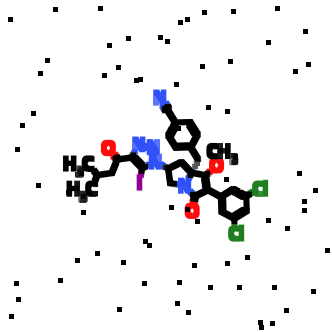 COC1=C(c2cc(Cl)cc(Cl)c2)C(=O)N2C[C@@H](n3nnc(C(=O)CC(C)C)c3I)C[C@@]12Cc1ccc(C#N)cc1